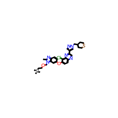 Cc1nc2ccc(Oc3ccc4ncc(-c5cnn(CC6CCSCC6)c5)nc4c3Cl)cc2n1COCC[Si](C)(C)C